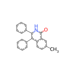 Cc1ccc2c(-c3ccccc3)c(-c3ccccc3)[nH]c(=O)c2c1